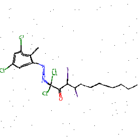 CCCCCCCC(I)C(I)C(=O)C(Cl)(Cl)N=Nc1cc(Cl)cc(Cl)c1C